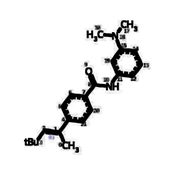 C/C(=C\C(C)(C)C)c1ccc(C(=O)Nc2cccc(N(C)C)c2)cc1